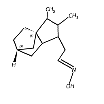 CC1C(CC=NO)C2C[C@@H]3CC[C@]2(C3)C1C